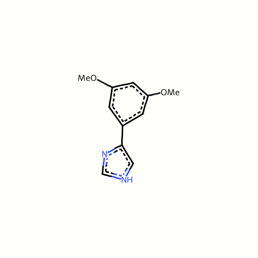 COc1cc(OC)cc(-c2c[nH]cn2)c1